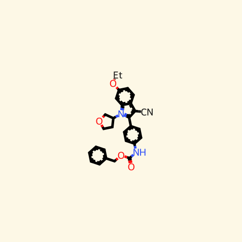 CCOc1ccc2c(C#N)c(-c3ccc(NC(=O)OCc4ccccc4)cc3)n(C3CCOC3)c2c1